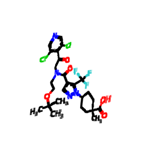 CC(C)(C)OCCN(CC(=O)c1c(Cl)cncc1Cl)C(=O)c1cnn([C@H]2CC[C@](C)(C(=O)O)CC2)c1C(F)(F)F